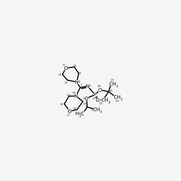 CC(C)OP(=O)(N=C(N1CCOCC1)N1CCOCC1)OC(C)(C)C